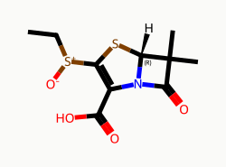 CC[S+]([O-])C1=C(C(=O)O)N2C(=O)C(C)(C)[C@H]2S1